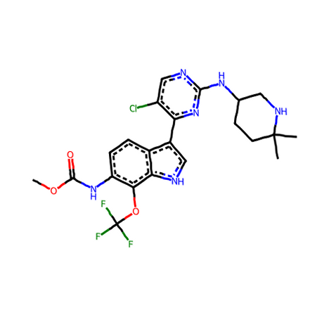 COC(=O)Nc1ccc2c(-c3nc(NC4CCC(C)(C)NC4)ncc3Cl)c[nH]c2c1OC(F)(F)F